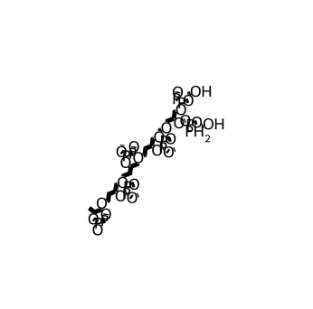 COP(OC(C)COCCC(COCCC(COCCC(COCOCC(COP(OCO)P=O)OOP(P)OCO)OP(OC)P=O)OP(OC)P=O)OP(OC)P=O)P=O